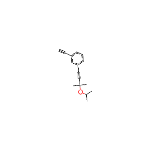 C#Cc1cccc(C#CC(C)(C)OC(C)C)c1